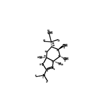 CN(C)C1=N[C@@H]2[C@@H](O)[C@H](O)[C@@H](C(C)(C)O)C[C@@H]2S1